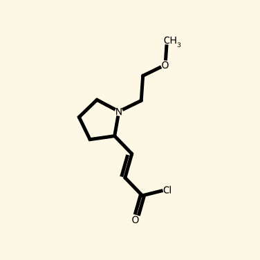 COCCN1CCCC1C=CC(=O)Cl